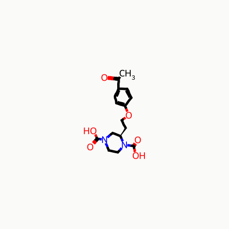 CC(=O)c1ccc(OCC[C@@H]2CN(C(=O)O)CCN2C(=O)O)cc1